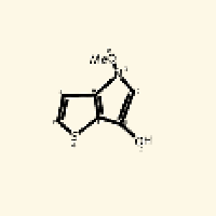 COn1cc(O)c2sccc21